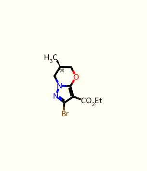 CCOC(=O)c1c(Br)nn2c1OC[C@H](C)C2